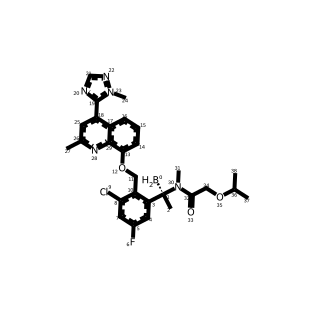 B[C@](C)(c1cc(F)cc(Cl)c1COc1cccc2c(-c3ncnn3C)cc(C)nc12)N(C)C(=O)COC(C)C